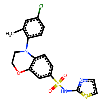 Cc1cc(Cl)ccc1N1CCOc2cc(S(=O)(=O)Nc3nccs3)ccc21